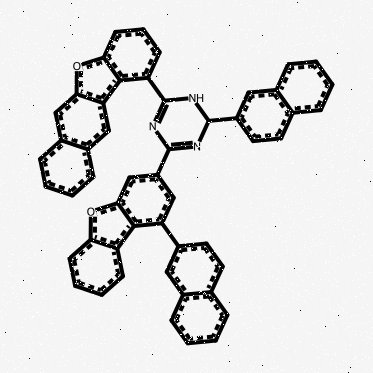 c1ccc2cc(-c3cc(C4=NC(c5ccc6ccccc6c5)NC(c5cccc6oc7cc8ccccc8cc7c56)=N4)cc4oc5ccccc5c34)ccc2c1